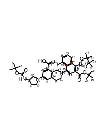 CC(C)(C)OC(=O)NC1CCN(c2cc3c(c(C(=O)O)c2)[C@H](Cc2ccccc2)N(c2ccc(B4OC(C)(C)C(C)(C)O4)c(C(=O)OC(C)(C)C)n2)CC3)C1